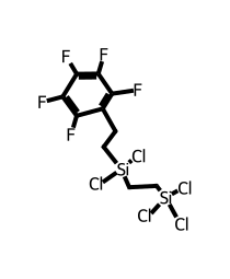 Fc1c(F)c(F)c(CC[Si](Cl)(Cl)CC[Si](Cl)(Cl)Cl)c(F)c1F